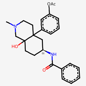 CC(=O)Oc1cccc(C23CCN(C)CC2(O)CC[C@H](NC(=O)c2ccccc2)C3)c1